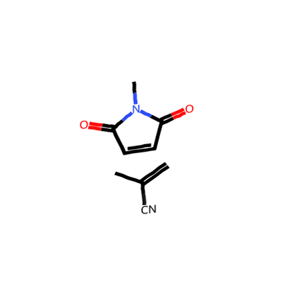 C=C(C)C#N.CN1C(=O)C=CC1=O